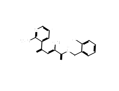 C=C(/C=C(\C#N)C(=O)NCc1ccccc1Cl)c1cccnc1NC